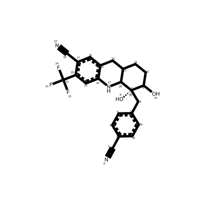 N#Cc1ccc(C[C@]2(O)C(O)CCC3Cc4cc(C#N)c(C(F)(F)F)cc4NC32)cc1